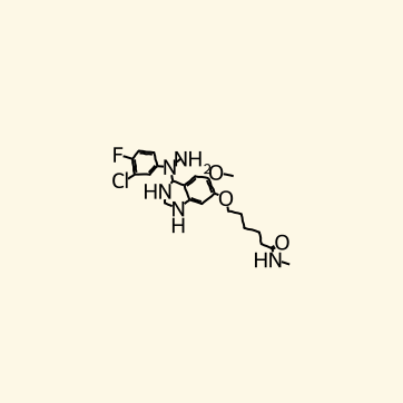 CNC(=O)CCCCCOc1cc2c(cc1OC)C(N(N)c1ccc(F)c(Cl)c1)NCN2